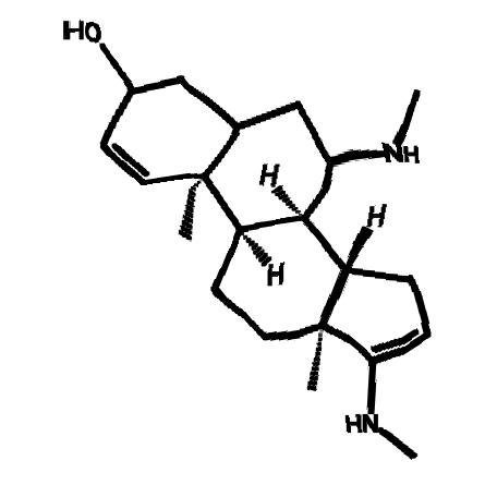 CNC1=CC[C@H]2[C@@H]3C(NC)CC4CC(O)C=C[C@]4(C)[C@@H]3CC[C@]12C